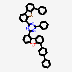 c1ccc(-c2ccc(-c3cccc4c3oc3cccc(-c5nc(-c6ccccc6)nc(-c6cccc7c6sc6c(-c8ccccc8)cccc67)n5)c34)cc2)cc1